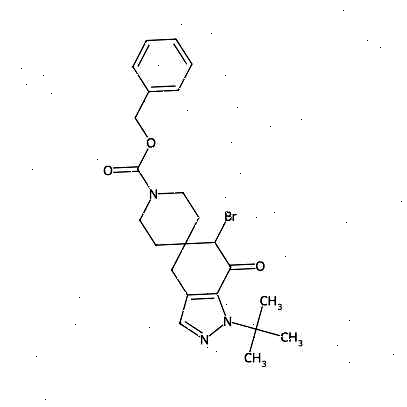 CC(C)(C)n1ncc2c1C(=O)C(Br)C1(CCN(C(=O)OCc3ccccc3)CC1)C2